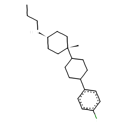 CCC[SiH2][C@H]1CC[C@](C)(C2CCC(c3ccc(Cl)cc3)CC2)CC1